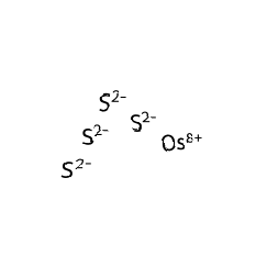 [Os+8].[S-2].[S-2].[S-2].[S-2]